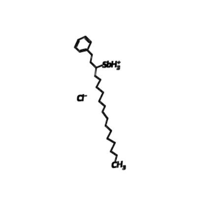 CCCCCCCCCCCCCCC[CH]([SbH3+])CCc1ccccc1.[Cl-]